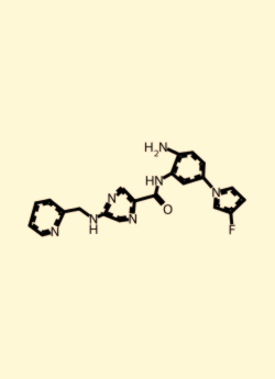 Nc1ccc(-n2ccc(F)c2)cc1NC(=O)c1cnc(NCc2ccccn2)cn1